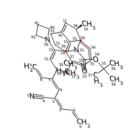 C=C/C=C(C#N)\C=C(/C=C)C(C)/C=C(C1=C(/C2=C\[C@@H](C)CN(C(=O)OC(C)(C)C)[C@H](C)CC2)C=C=CN=C1C)/N1CCC1